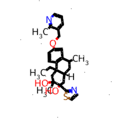 CCC12CC(C)(O)C(O)(c3nccs3)C[C@H]1CC(C)c1cc(OCc3cccnc3C)ccc12